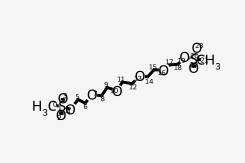 CS(=O)(=O)OCCOCCOCCOCCOCCOS(C)(=O)=O